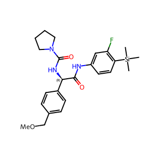 COCc1ccc([C@@H](NC(=O)N2CCCC2)C(=O)Nc2ccc([Si](C)(C)C)c(F)c2)cc1